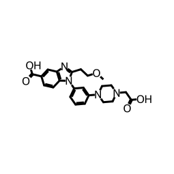 COCCc1nc2cc(C(=O)O)ccc2n1-c1cccc(N2CCN(CC(=O)O)CC2)c1